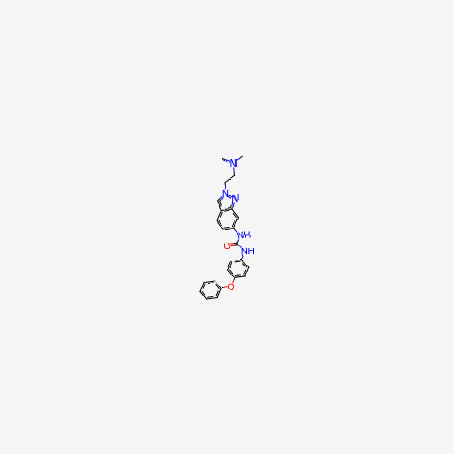 CN(C)CCn1cc2ccc(NC(=O)Nc3ccc(Oc4ccccc4)cc3)cc2n1